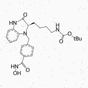 CC(C)(C)OC(=O)NCCCC[C@@H]1C(=O)Nc2ccccc2N1Cc1ccc(C(=O)NO)cc1